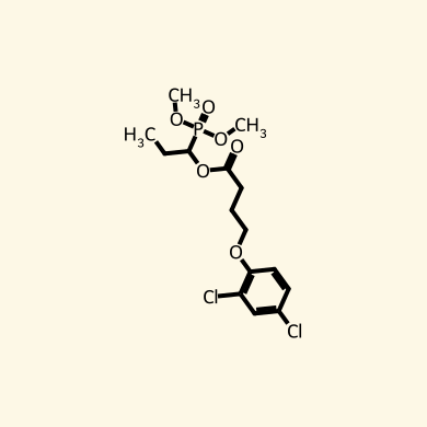 CCC(OC(=O)CCCOc1ccc(Cl)cc1Cl)P(=O)(OC)OC